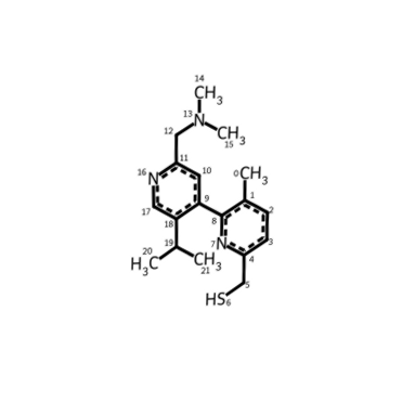 Cc1ccc(CS)nc1-c1cc(CN(C)C)ncc1C(C)C